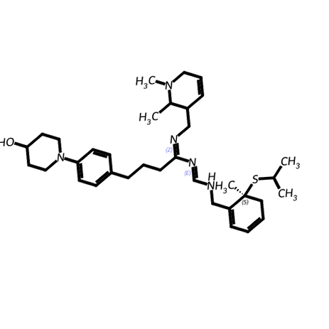 CC(C)S[C@@]1(C)CC=CC=C1CN/C=N/C(CCCc1ccc(N2CCC(O)CC2)cc1)=N\CC1C=CCN(C)C1C